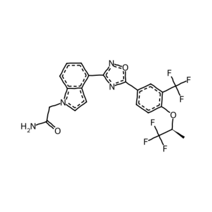 C[C@H](Oc1ccc(-c2nc(-c3cccc4c3ccn4CC(N)=O)no2)cc1C(F)(F)F)C(F)(F)F